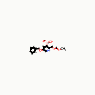 COCOCc1ncc(OCc2ccccc2)cc1B(O)O